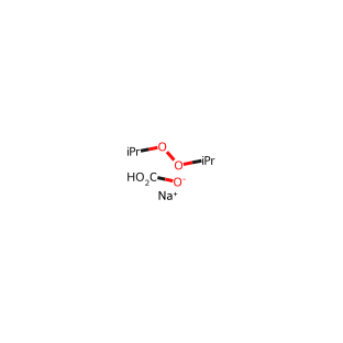 CC(C)OOC(C)C.O=C([O-])O.[Na+]